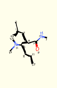 C=C(C)/C=C(C(=O)NC)\C(=C/CC)N(C)C